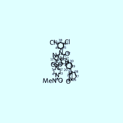 CNC(=O)N1CCN(S(=O)(=O)c2cnc3n2[C@](C)(Cc2ccc(C4=C[NH+]([O-])CC=C4)cc2)C(=O)N3c2cc(Cl)cc(Cl)c2)CC1